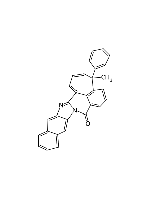 CC1(c2ccccc2)C=CC=c2c3c1cccc3c(=O)n1c2nc2cc3ccccc3cc21